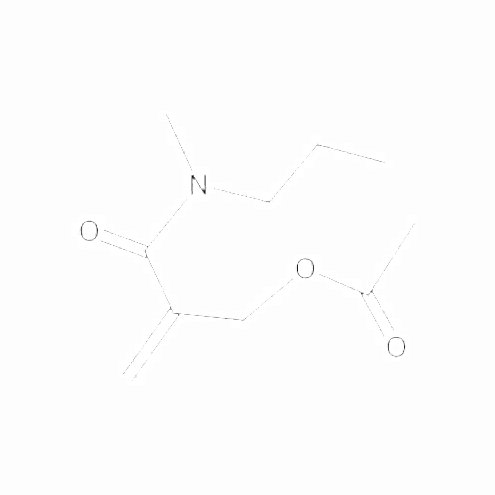 C=C(COC(C)=O)C(=O)N(C)CCC